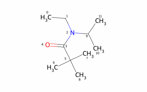 CCN(C(=O)C(C)(C)C)C(C)C